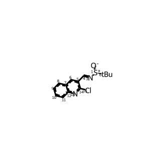 CC(C)(C)[S@+]([O-])/N=C/c1cc2ccccc2nc1Cl